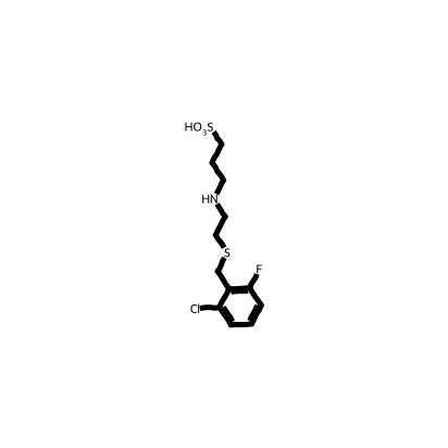 O=S(=O)(O)CCCNCCSCc1c(F)cccc1Cl